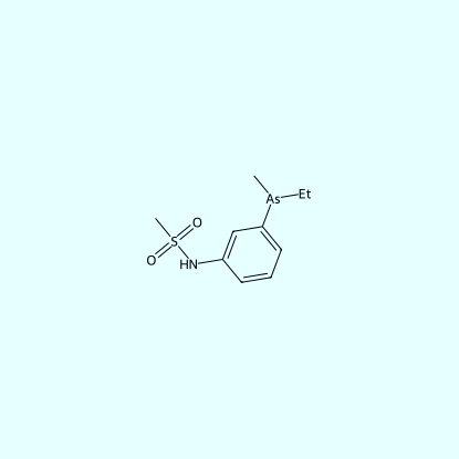 CC[As](C)c1cccc(NS(C)(=O)=O)c1